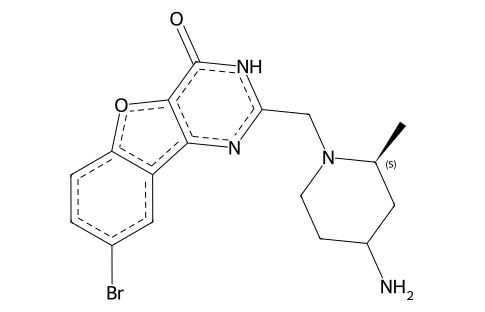 C[C@H]1CC(N)CCN1Cc1nc2c(oc3ccc(Br)cc32)c(=O)[nH]1